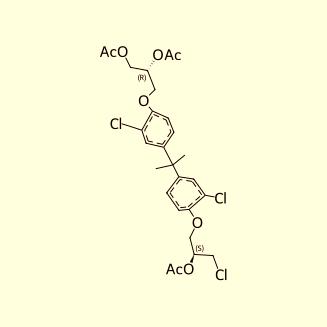 CC(=O)OC[C@@H](COc1ccc(C(C)(C)c2ccc(OC[C@@H](CCl)OC(C)=O)c(Cl)c2)cc1Cl)OC(C)=O